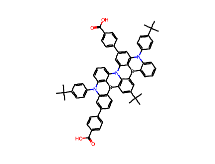 CC(C)(C)c1ccc(N2c3cc(-c4ccc(C(=O)O)cc4)ccc3B3c4cc(C(C)(C)C)cc5c4N(c4cccc2c43)c2cc(-c3ccc(C(=O)O)cc3)cc3c2B5c2ccccc2N3c2ccc(C(C)(C)C)cc2)cc1